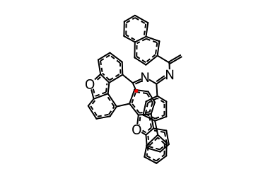 C=C(/N=C(\N=C(/C)c1cccc2oc3cccc(-c4cccc5c4oc4ccccc45)c3c12)c1ccc(-c2ccccc2)cc1)c1ccc2ccccc2c1